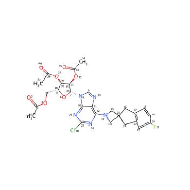 CC(=O)OC[C@H]1O[C@@H](n2cnc3c(N4CC5(Cc6ccc(F)cc6C5)C4)nc(Cl)nc32)[C@H](OC(C)=O)[C@@H]1OC(C)=O